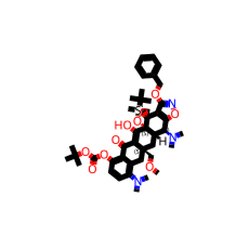 COC[C@@]12Cc3c(N(C)C)ccc(OC(=O)OC(C)(C)C)c3C(=O)C1=C(O)[C@]1(O[Si](C)(C)C(C)(C)C)C(=O)c3c(OCc4ccccc4)noc3[C@@H](N(C)C)[C@@H]1C2